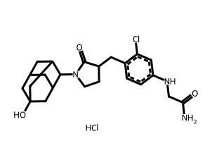 Cl.NC(=O)CNc1ccc(CC2CCN(C3C4CC5CC3CC(O)(C5)C4)C2=O)c(Cl)c1